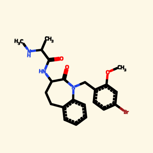 CNC(C)C(=O)NC1CCc2ccccc2N(Cc2ccc(Br)cc2OC)C1=O